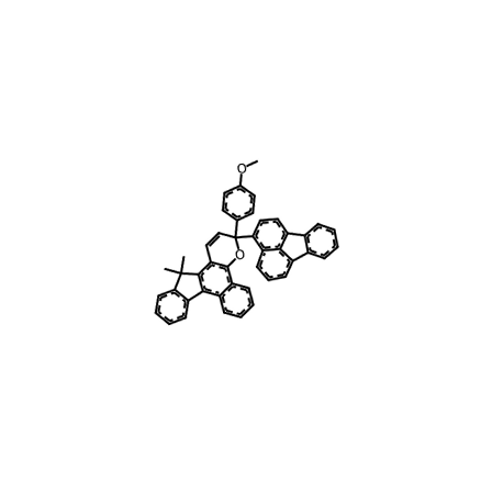 COc1ccc(C2(c3ccc4c5c(cccc35)-c3ccccc3-4)C=Cc3c4c(c5ccccc5c3O2)-c2ccccc2C4(C)C)cc1